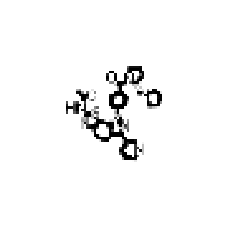 CC(=O)Nc1nc2c(s1)-c1c(c(-c3cccnc3)nn1-c1ccc(C(=O)N3CCC[C@H]3CN3CCCC3)cc1)CC2